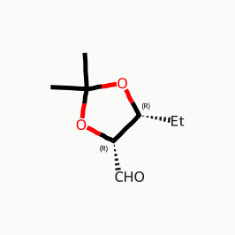 CC[C@H]1OC(C)(C)O[C@H]1C=O